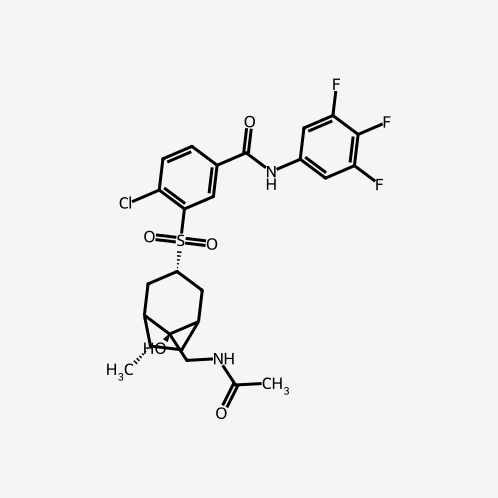 CC(=O)NC[C@@]1(O)C2C[C@@H](S(=O)(=O)c3cc(C(=O)Nc4cc(F)c(F)c(F)c4)ccc3Cl)CC1[C@@H](C)C2